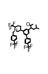 CC(=O)C(CC(C)C)c1cc(-c2ccc(C(F)(F)F)cc2)cc(C2CCC(C(F)(F)F)N(Cc3ccc(C(F)(F)F)cc3)C2)c1